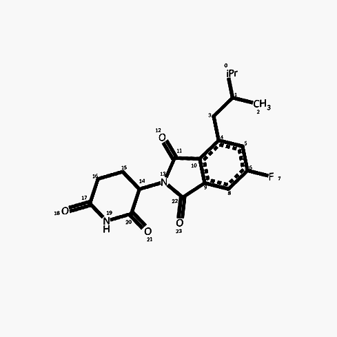 CC(C)C(C)Cc1cc(F)cc2c1C(=O)N(C1CCC(=O)NC1=O)C2=O